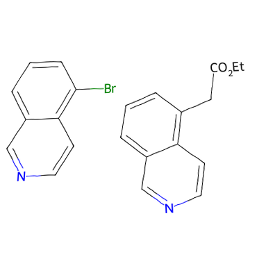 Brc1cccc2cnccc12.CCOC(=O)Cc1cccc2cnccc12